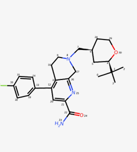 CC(C)(C)[C@H]1C[C@@H](CN2CCc3c(-c4ccc(F)cc4)cc(C(N)=O)nc3C2)CCO1